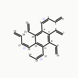 C=C/C=C\c1c(C=C)c(C=C)c(/C=C\C)c(/C=C\C=C)c1C=C